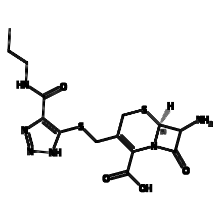 CCCNC(=O)c1nn[nH]c1SCC1=C(C(=O)O)N2C(=O)C(N)[C@@H]2SC1